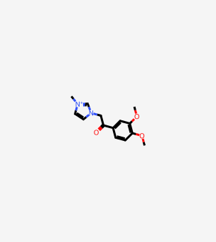 COc1ccc(C(=O)Cn2cc[n+](C)c2)cc1OC